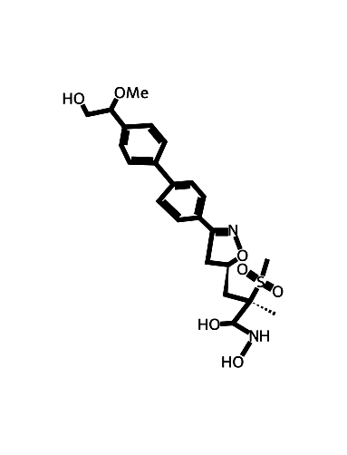 COC(CO)c1ccc(-c2ccc(C3=NO[C@@H](C[C@](C)(C(O)NO)S(C)(=O)=O)C3)cc2)cc1